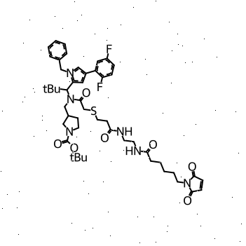 CC(C)(C)OC(=O)N1CCC(CN(C(=O)CSCCC(=O)NCCNC(=O)CCCCCN2C(=O)C=CC2=O)C(c2cc(-c3cc(F)ccc3F)cn2Cc2ccccc2)C(C)(C)C)C1